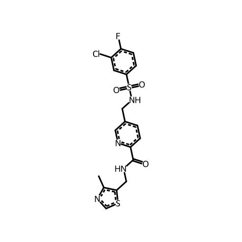 Cc1ncsc1CNC(=O)c1ccc(CNS(=O)(=O)c2ccc(F)c(Cl)c2)cn1